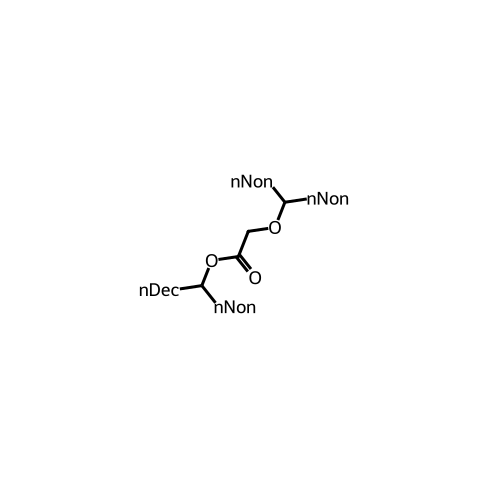 CCCCCCCCCCC(CCCCCCCCC)OC(=O)COC(CCCCCCCCC)CCCCCCCCC